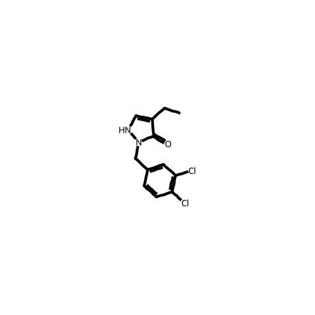 CCc1c[nH]n(Cc2ccc(Cl)c(Cl)c2)c1=O